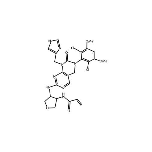 C=CC(=O)NC1COCC1Nc1ncc2c(n1)N(Cc1c[nH]cn1)C(=O)N(c1c(Cl)c(OC)cc(OC)c1Cl)C2